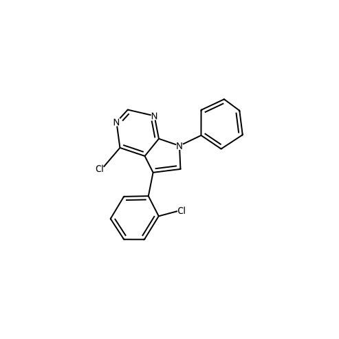 Clc1ccccc1-c1cn(-c2ccccc2)c2ncnc(Cl)c12